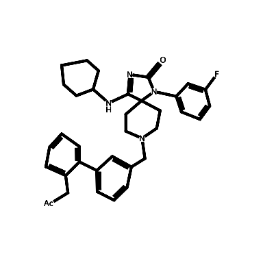 CC(=O)Cc1ccccc1-c1cccc(CN2CCC3(CC2)C(NC2CCCCC2)=NC(=O)N3c2cccc(F)c2)c1